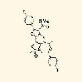 CNC(=O)c1c(-c2ccc(F)cc2)oc2cc3c(cc12)C(C)O[C@@H](c1ccc(F)cc1)CN3S(C)(=O)=O